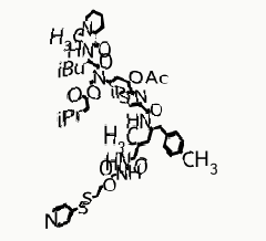 CC[C@H](C)[C@H](NC(=O)[C@H]1CCCCN1C)C(=O)N(COC(=O)CC(C)C)[C@H](C[C@@H](OC(C)=O)c1nc(C(=O)N[C@@H](Cc2ccc(C)cc2)C[C@H](C)C(=O)NNC(=O)OCCSSc2ccncc2)cs1)C(C)C